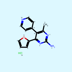 Cc1nc(N)nc(-c2ccco2)c1-c1ccncc1.Cl